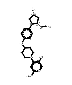 COc1cc(N2CCC(Oc3ccc(N4C[C@H](C)C[C@@H]4CC(=O)O)cc3)CC2)c(Cl)cn1